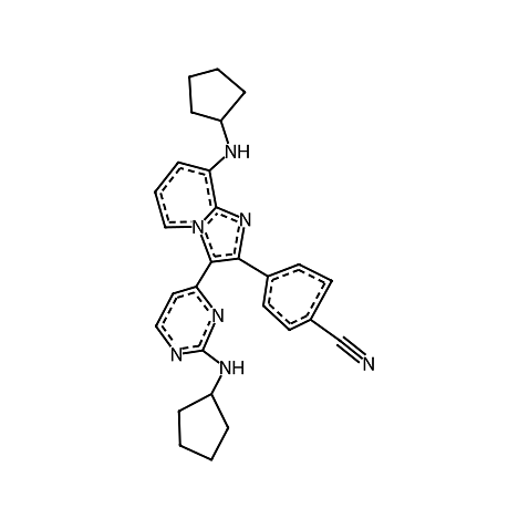 N#Cc1ccc(-c2nc3c(NC4CCCC4)cccn3c2-c2ccnc(NC3CCCC3)n2)cc1